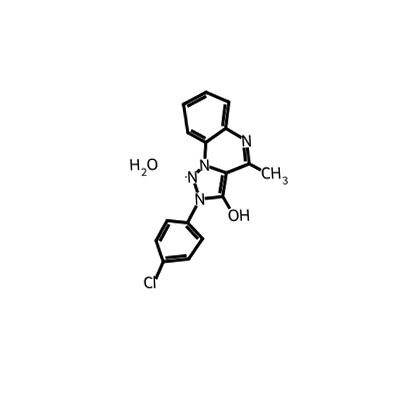 CC1=Nc2ccccc2N2[N]N(c3ccc(Cl)cc3)C(O)=C12.O